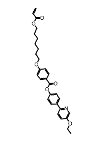 C=CC(=O)OCCCCCCCOc1ccc(C(=O)Oc2ccc(-c3ccc(OCC)cn3)cc2)cc1